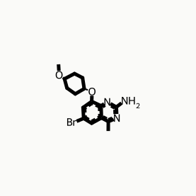 CO[C@H]1CC[C@H](Oc2cc(Br)cc3c(C)nc(N)nc23)CC1